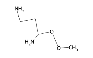 COOC(N)CCN